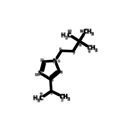 CC(C)c1cn(CCC(C)(C)C)cn1